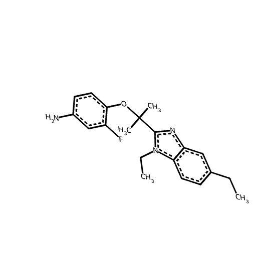 CCc1ccc2c(c1)nc(C(C)(C)Oc1ccc(N)cc1F)n2CC